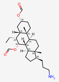 CC[C@H]1[C@@H](OC=O)[C@@H]2[C@H](CC[C@]3(C)[C@@H](CCCN)CC[C@@H]23)[C@@]2(C)CC[C@@H](OC=O)C[C@@H]12